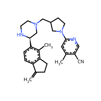 C=C1CCc2c1ccc([C@@H]1CN(CC3CCN(c4cc(C)c(C#N)cn4)C3)CCN1)c2C